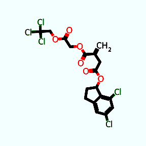 C=C(CC(=O)OC1CCc2cc(Cl)cc(Cl)c21)C(=O)OCC(=O)OCC(Cl)(Cl)Cl